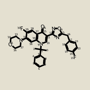 CC(C)(c1ccccc1)n1cc(-c2noc(Cc3ccc(F)cc3)n2)c(=O)c2cc(F)c(N3CCOCC3)cc21